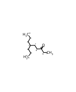 CCCC(CCC)CCC(=O)CC